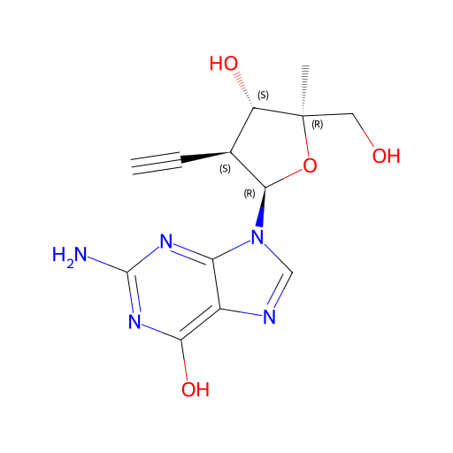 C#C[C@@H]1[C@H](n2cnc3c(O)nc(N)nc32)O[C@](C)(CO)[C@H]1O